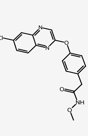 CONC(=O)Cc1ccc(Oc2cnc3cc(Cl)ccc3n2)cc1